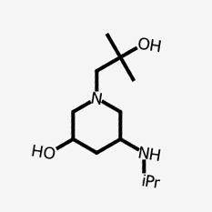 CC(C)NC1CC(O)CN(CC(C)(C)O)C1